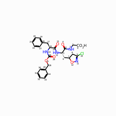 O=C(O)CNC(=O)[C@H](CC1CC(Cl)=NO1)NC(=O)[C@H](Cc1ccccc1)NC(=O)OCc1ccccc1